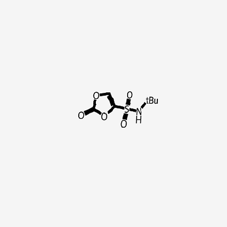 CC(C)(C)NS(=O)(=O)c1coc(=O)o1